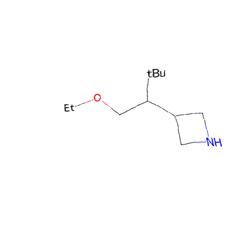 CCOCC(C1CNC1)C(C)(C)C